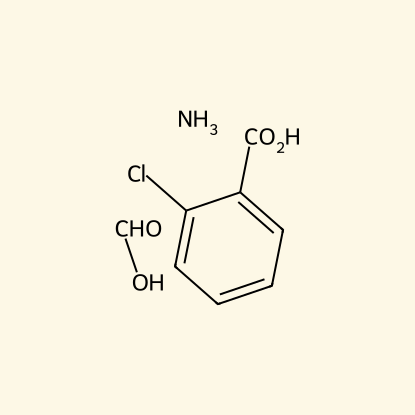 N.O=C(O)c1ccccc1Cl.O=CO